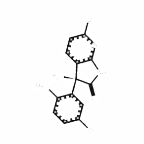 COc1ccc(Cl)cc1[C@@]1(C)C(=O)Nc2nc(Cl)ccc21